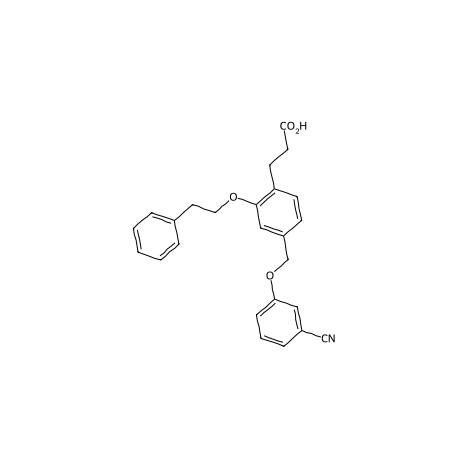 N#Cc1cccc(OCc2ccc(CCC(=O)O)c(OCCc3ccccc3)c2)c1